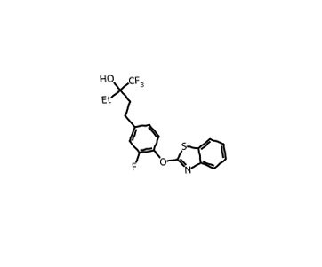 CCC(O)(CCc1ccc(Oc2nc3ccccc3s2)c(F)c1)C(F)(F)F